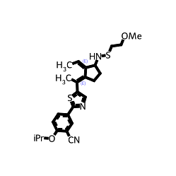 C/C=C1\C(=C(/C)c2cnc(-c3ccc(OC(C)C)c(C#N)c3)s2)CCC1NSCCOC